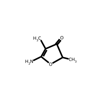 CC1=C(N)OC(C)C1=O